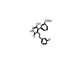 COc1cccc(-c2c(C)n[nH]c(=O)c2CCc2cccc(F)c2)c1